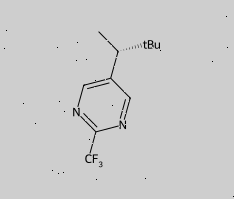 C[C@@H](c1cnc(C(F)(F)F)nc1)C(C)(C)C